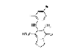 Cc1c(Nc2ccc(Br)cc2F)c(C(=O)O)c2n(c1=O)CCC2